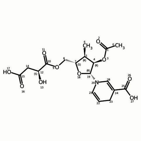 CC(=O)O[C@@H]1[C@H](C)[C@@H](COC(=O)[C@@H](O)CC(=O)O)O[C@H]1N1C=CCC(C(=O)O)=C1